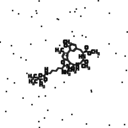 COC(=O)[C@@H]1Cc2ccc(OC)c(c2)-c2cc(ccc2C)[C@H](N(C)C(=O)[C@@H](N)CCCCNC(=O)OC(C)(C)C)C(=O)N[C@@H](C)C(=O)N1